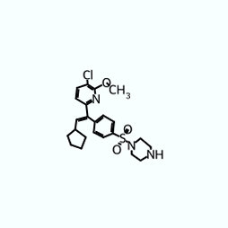 COc1nc(C(=CC2CCCC2)c2ccc(S(=O)(=O)N3CCNCC3)cc2)ccc1Cl